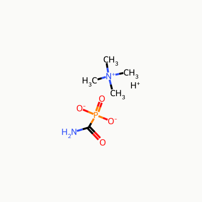 C[N+](C)(C)C.NC(=O)P(=O)([O-])[O-].[H+]